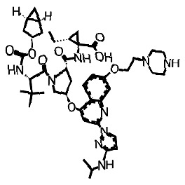 CC[C@@H]1C[C@]1(NC(=O)[C@@H]1C[C@@H](Oc2cc(-n3ccc(NC(C)C)n3)nc3cc(OCCN4CCNCC4)ccc23)CN1C(=O)[C@@H](NC(=O)O[C@@H]1C[C@@H]2C[C@@H]2C1)C(C)(C)C)C(=O)O